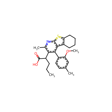 CCCC(C(=O)O)c1c(C)nc2sc3c(c2c1-c1ccc(C)cc1OC)CCCC3